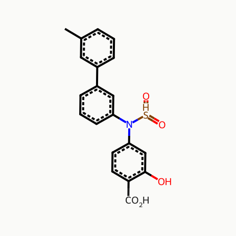 Cc1cccc(-c2cccc(N(c3ccc(C(=O)O)c(O)c3)[SH](=O)=O)c2)c1